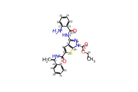 C=C(NC(=O)c1cc2c(NC(=O)c3ccccc3N)nn(C(=O)OCC)c2s1)c1ccccc1